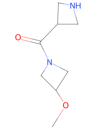 COC1CN(C(=O)C2CNC2)C1